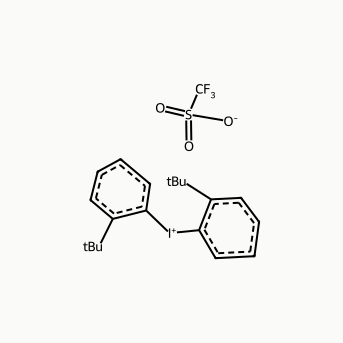 CC(C)(C)c1ccccc1[I+]c1ccccc1C(C)(C)C.O=S(=O)([O-])C(F)(F)F